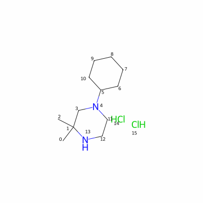 CC1(C)CN(C2CCCCC2)CCN1.Cl.Cl